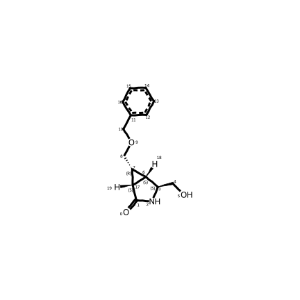 O=C1N[C@H](CO)[C@H]2[C@@H](COCc3ccccc3)[C@@H]12